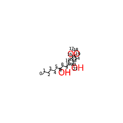 CCCCCCC(O)CCC1CC2C(CC23OCCO3)C1O